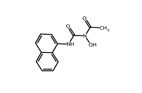 CC(=O)N(O)C(=O)Nc1cccc2ccccc12